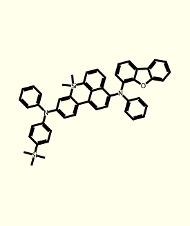 C[Si](C)(C)c1ccc(N(c2ccccc2)c2ccc3c(c2)[Si](C)(C)c2cccc4c(N(c5ccccc5)c5cccc6c5oc5ccccc56)ccc-3c24)cc1